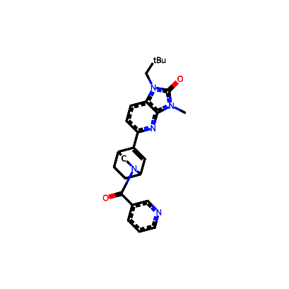 Cn1c(=O)n(CC(C)(C)C)c2ccc(C3=CC4CCC3CN4C(=O)c3cccnc3)nc21